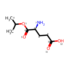 CC(C)OC(=O)[C@@H](N)CCC(=O)O